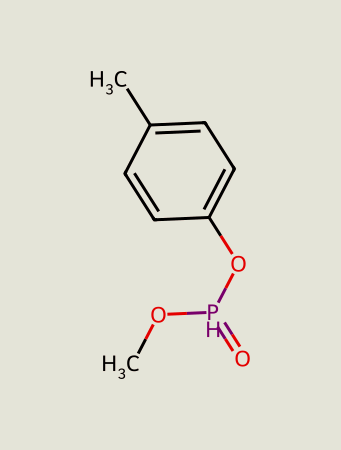 CO[PH](=O)Oc1ccc(C)cc1